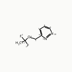 CC(F)(F)OCc1cccnn1